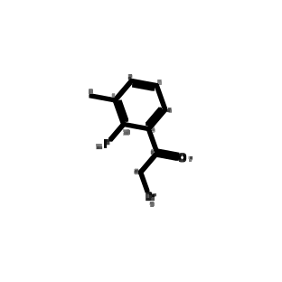 Cc1cccc(C(=O)CBr)c1F